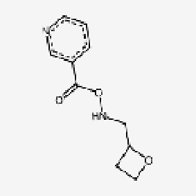 O=C(ONCC1CCO1)c1cccnc1